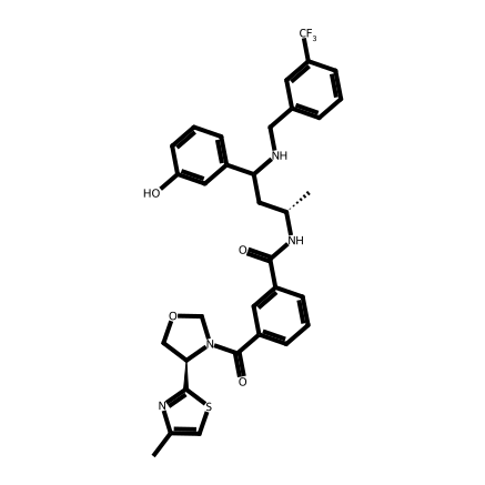 Cc1csc([C@H]2COCN2C(=O)c2cccc(C(=O)N[C@@H](C)CC(NCc3cccc(C(F)(F)F)c3)c3cccc(O)c3)c2)n1